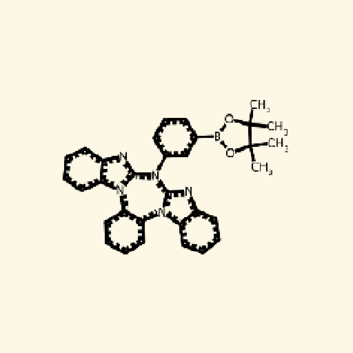 CC1(C)OB(c2cccc(-n3c4nc5ccccc5n4c4ccccc4n4c5ccccc5nc34)c2)OC1(C)C